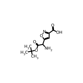 CC(C)(C)OC(=O)C(N)c1cc(C(=O)O)no1